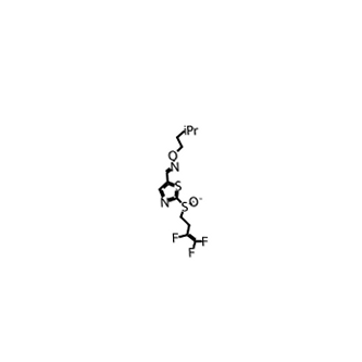 CC(C)CCON=Cc1cnc([S+]([O-])CCC(F)=C(F)F)s1